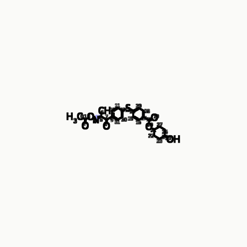 CC(=O)O/N=C(\C)C(=O)c1ccc(Sc2ccc(C(=O)OC3CCC(O)CC3)cc2)cc1